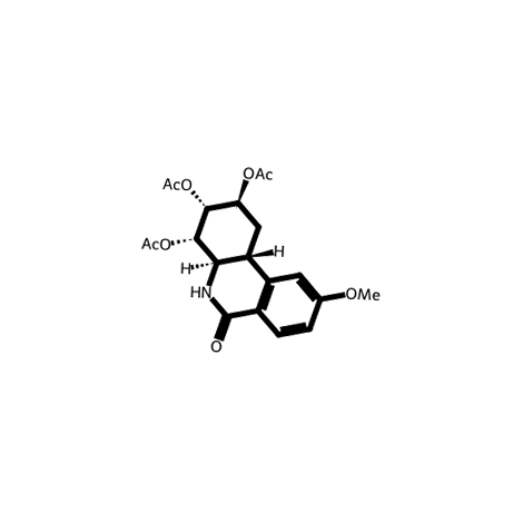 COc1ccc2c(c1)[C@H]1C[C@H](OC(C)=O)[C@@H](OC(C)=O)[C@@H](OC(C)=O)[C@@H]1NC2=O